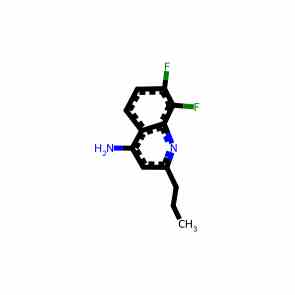 CCCc1cc(N)c2ccc(F)c(F)c2n1